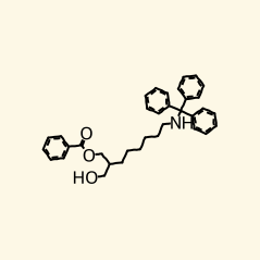 O=C(OCC(CO)CCCCCCNC(c1ccccc1)(c1ccccc1)c1ccccc1)c1ccccc1